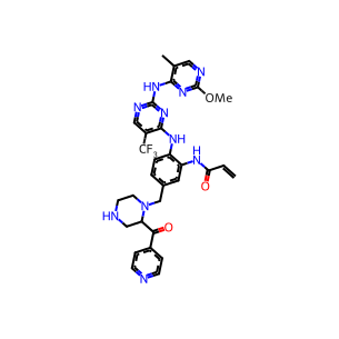 C=CC(=O)Nc1cc(CN2CCNCC2C(=O)c2ccncc2)ccc1Nc1nc(Nc2nc(OC)ncc2C)ncc1C(F)(F)F